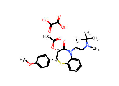 COc1ccc([C@H]2Sc3ccccc3N(CCN(C)C(C)(C)C)C(=O)[C@H]2OC(C)=O)cc1.O=C(O)C(=O)O